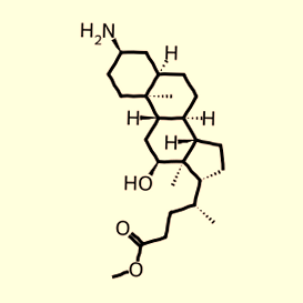 COC(=O)CC[C@@H](C)[C@H]1CC[C@H]2[C@@H]3CC[C@@H]4C[C@H](N)CC[C@]4(C)[C@H]3C[C@H](O)[C@]12C